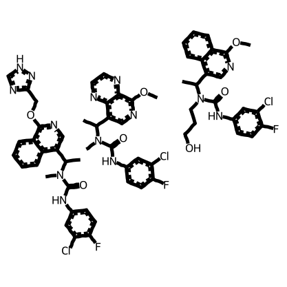 CC(c1cnc(OCc2nc[nH]n2)c2ccccc12)N(C)C(=O)Nc1ccc(F)c(Cl)c1.COc1ncc(C(C)N(C)C(=O)Nc2ccc(F)c(Cl)c2)c2nccnc12.COc1ncc(C(C)N(CCCO)C(=O)Nc2ccc(F)c(Cl)c2)c2ccccc12